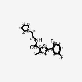 Cc1nc(-c2cc(F)ccc2F)sc1C(=O)NCCN1CCCC1